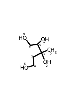 CC(O)(CCO)C(O)CO